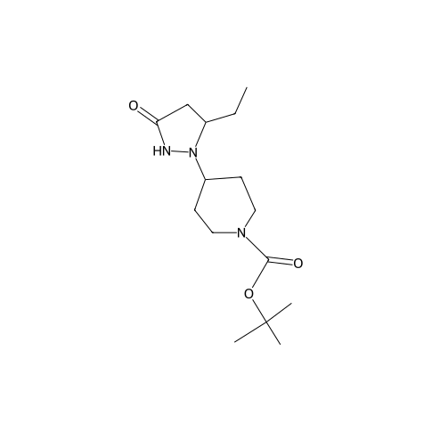 CCC1CC(=O)NN1C1CCN(C(=O)OC(C)(C)C)CC1